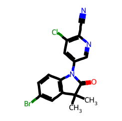 CC1(C)C(=O)N(c2cnc(C#N)c(Cl)c2)c2ccc(Br)cc21